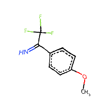 COc1ccc(C(=N)C(F)(F)F)cc1